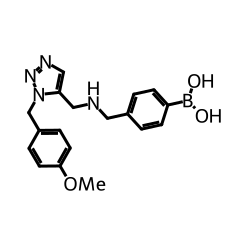 COc1ccc(Cn2nncc2CNCc2ccc(B(O)O)cc2)cc1